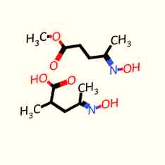 C/C(CC(C)C(=O)O)=N\O.COC(=O)CC/C(C)=N/O